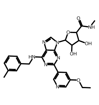 CCOc1cncc(-c2nc(NCc3cccc(C)c3)c3ncn(C4OC(C(=O)NC)C(O)C4O)c3n2)c1